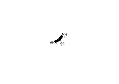 N=C=N.[Ag]